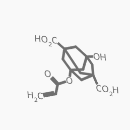 C=CC(=O)OC12CC3(O)CC(C(=O)O)(C1)CC(C(=O)O)(C3)C2